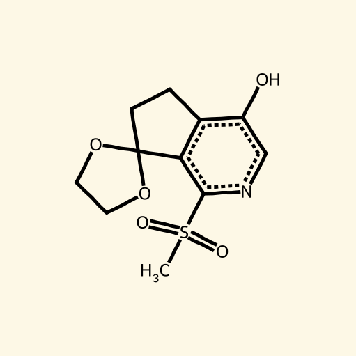 CS(=O)(=O)c1ncc(O)c2c1C1(CC2)OCCO1